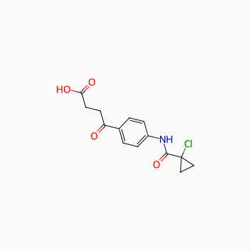 O=C(O)CCC(=O)c1ccc(NC(=O)C2(Cl)CC2)cc1